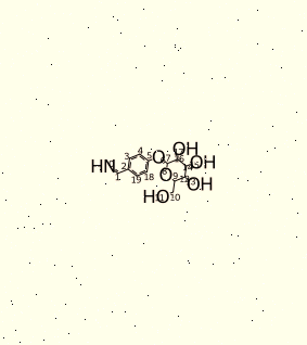 N=Cc1ccc(OC2OC(CO)C(O)C(O)C2O)cc1